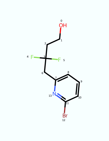 OCCC(F)(F)Cc1cccc(Br)n1